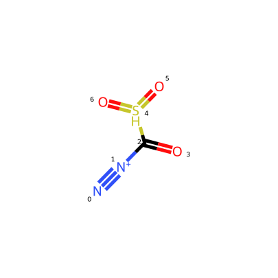 N#[N+]C(=O)[SH](=O)=O